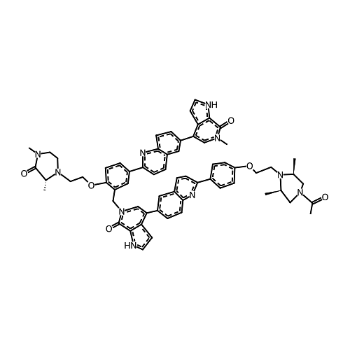 CC(=O)N1C[C@@H](C)N(CCOc2ccc(-c3ccc4cc(-c5cn(Cc6cc(-c7ccc8cc(-c9cn(C)c(=O)c%10[nH]ccc9%10)ccc8n7)ccc6OCCN6CCN(C)C(=O)[C@H]6C)c(=O)c6[nH]ccc56)ccc4n3)cc2)[C@@H](C)C1